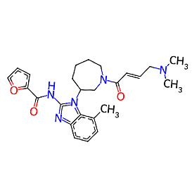 Cc1cccc2nc(NC(=O)c3ccco3)n(C3CCCCN(C(=O)C=CCN(C)C)C3)c12